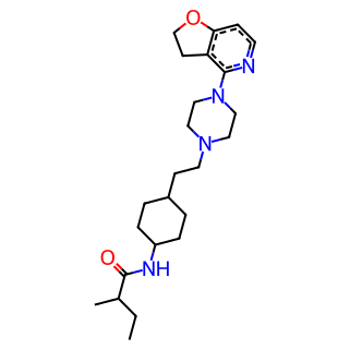 CCC(C)C(=O)NC1CCC(CCN2CCN(c3nccc4c3CCO4)CC2)CC1